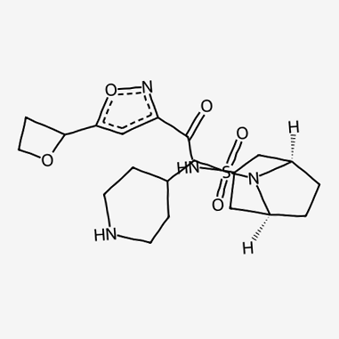 O=C(NC1C[C@H]2CC[C@@H](C1)N2S(=O)(=O)CC1CCNCC1)c1cc(C2CCO2)on1